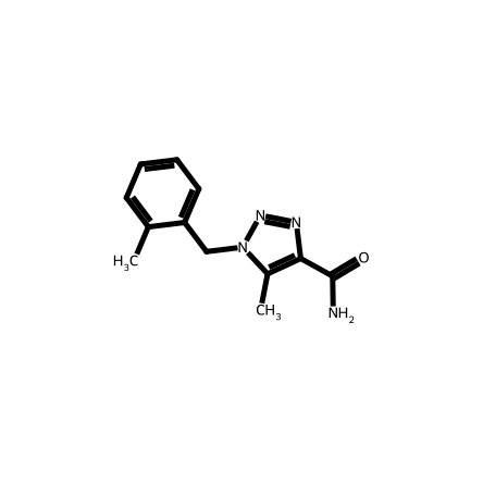 Cc1ccccc1Cn1nnc(C(N)=O)c1C